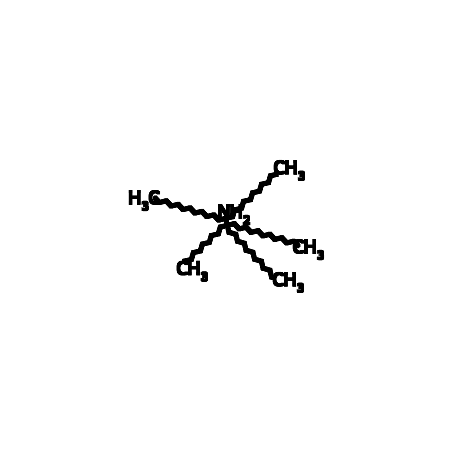 CCCCCCCCCCCCC(N)(CCCCCCCCCCCC)C(CCCCCCCCCC)(CCCCCCCCCCCC)CCCCCCCCCCCC